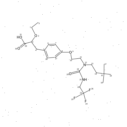 CCOC(Cc1ccc(OCCN(CCC(C)(C)C)C(=O)NCC(F)(F)F)cc1)C(=O)O